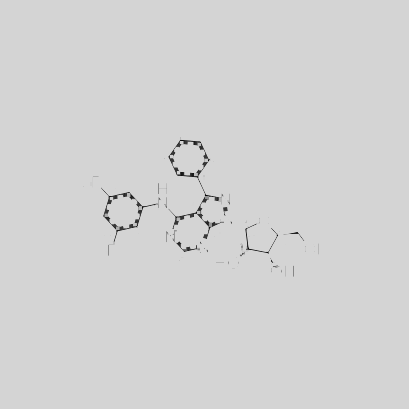 OC[C@@H]1O[C@@H](n2nc(-c3ccccc3)c3c(Nc4cc(F)cc(F)c4)ncnc32)[C@H](O)[C@@H]1O